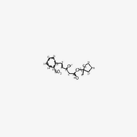 CC1(OC(=O)CC(=O)C=Cc2ccccc2[N+](=O)[O-])CCCO1